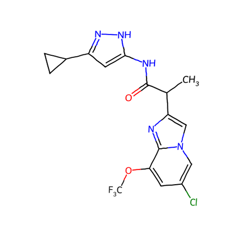 CC(C(=O)Nc1cc(C2CC2)n[nH]1)c1cn2cc(Cl)cc(OC(F)(F)F)c2n1